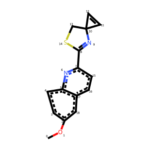 COc1ccc2nc(C3=NC4(C=C4)CS3)ccc2c1